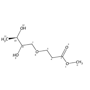 COC(=O)CCOCC(O)[C@@H](C)O